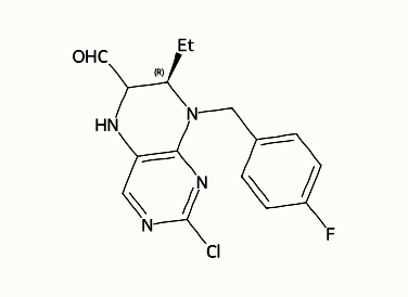 CC[C@@H]1C(C=O)Nc2cnc(Cl)nc2N1Cc1ccc(F)cc1